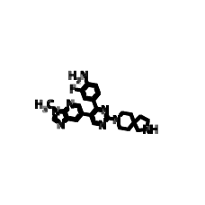 Cn1cnc2cc(-c3cnc(N4CCC5(CCNC5)CC4)nc3-c3ccc(N)c(F)c3)cnc21